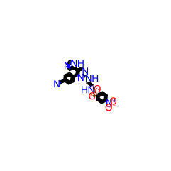 N#Cc1ccc(-c2nc(NCCNS(=O)(=O)c3ccc([N+](=O)[O-])cc3)ncc2-c2cnc[nH]2)cc1